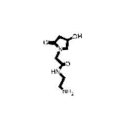 NCCNC(=O)CN1CC(O)CC1=O